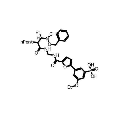 CCCCCC(C(=O)NCNC(=O)c1ccc(-c2cc(OCC)cc(P(=O)(O)O)c2)o1)[C@@H](CC)N(C=O)OCc1ccccc1